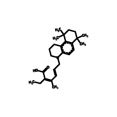 CCC(C(=O)O)=C(C)C=CCN1CCCc2c1ccc1c2C(C)(C)CCC1(C)C